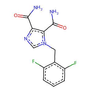 NC(=O)c1ncn(Cc2c(F)cccc2F)c1C(N)=O